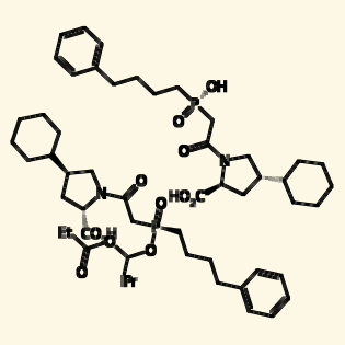 CCC(=O)OC(O[P@](=O)(CCCCc1ccccc1)CC(=O)N1C[C@H](C2CCCCC2)C[C@H]1C(=O)O)C(C)C.O=C(O)[C@@H]1C[C@@H](C2CCCCC2)CN1C(=O)C[P@](=O)(O)CCCCc1ccccc1